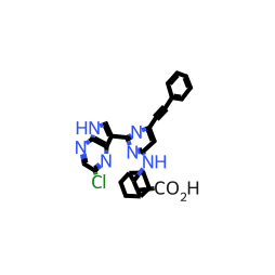 O=C(O)C1C2CCC(CC2)C1Nc1cc(C#Cc2ccccc2)nc(-c2c[nH]c3ncc(Cl)nc23)n1